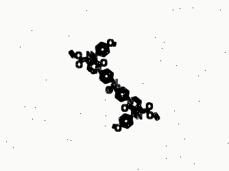 CCOC(=O)c1nn(-c2ccc(OC)cc2)c2c1CCN(c1ccc(/N=[N+](\[O-])c3ccc(N4CCc5c(C(=O)OCC)nn(-c6ccc(OC)cc6)c5C4=O)cc3)cc1)C2=O